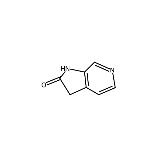 O=C1Cc2ccncc2N1